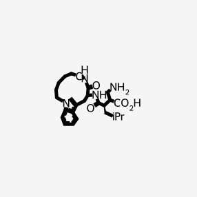 CC(C)C[C@@H](C(=O)NC1Cc2cn(c3ccccc23)CCCCCCNC1=O)C(CN)C(=O)O